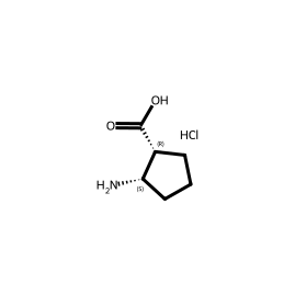 Cl.N[C@H]1CCC[C@H]1C(=O)O